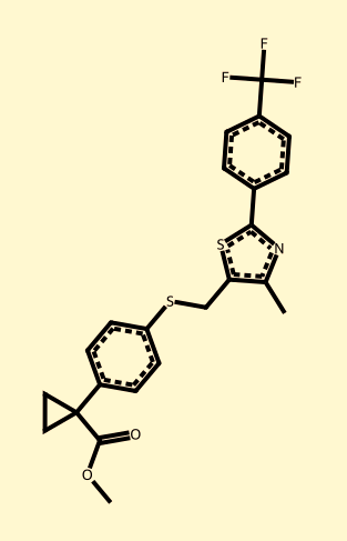 COC(=O)C1(c2ccc(SCc3sc(-c4ccc(C(F)(F)F)cc4)nc3C)cc2)CC1